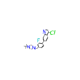 CC(C)(C)N1CCN(Cc2ccc(-c3ccc4c(Cl)ccnc4c3)c(F)c2)CC1